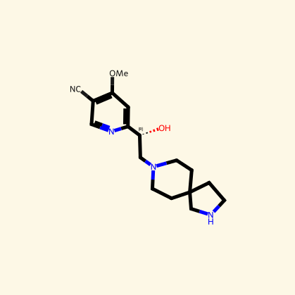 COc1cc([C@H](O)CN2CCC3(CCNC3)CC2)ncc1C#N